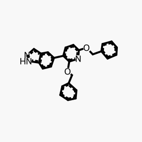 c1ccc(COc2ccc(-c3ccc4[nH]ncc4c3)c(OCc3ccccc3)n2)cc1